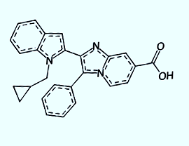 O=C(O)c1ccn2c(-c3ccccc3)c(-c3cc4ccccc4n3CC3CC3)nc2c1